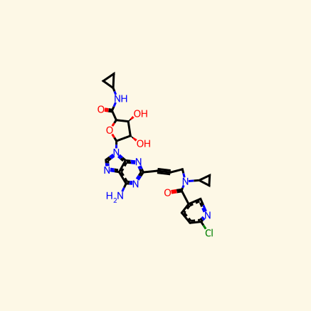 Nc1nc(C#CCN(C(=O)c2ccc(Cl)nc2)C2CC2)nc2c1ncn2C1OC(C(=O)NC2CC2)[C@@H](O)[C@H]1O